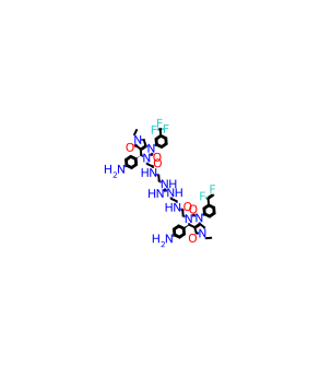 CCN1CC2=C(C1=O)[C@@H](c1ccc(N)cc1)N(CC(=O)NCCNC(=N)NCCNC(=O)CN1C(=O)N(c3cccc(C(F)(F)F)c3)C3=C(C(=O)N(CC)C3)[C@H]1c1ccc(N)cc1)C(=O)N2c1cccc(/C(F)=C/F)c1